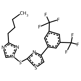 CCCCc1ncn(Sc2nc(-c3cc(C(F)(F)F)cc(C(F)(F)F)c3)cs2)n1